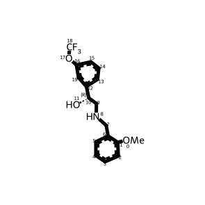 COc1ccccc1CNC[C@H](O)c1cccc(OC(F)(F)F)c1